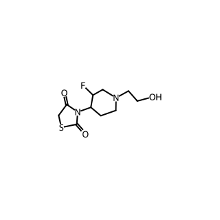 O=C1CSC(=O)N1C1CCN(CCO)CC1F